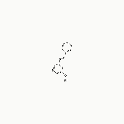 CC(C)Oc1cncc(/N=C/c2ccccc2)c1